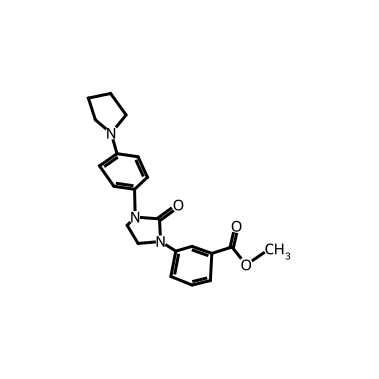 COC(=O)c1cccc(N2CCN(c3ccc(N4CCCC4)cc3)C2=O)c1